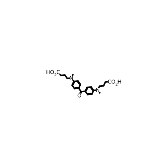 CN(CCCC(=O)O)c1ccc(C(=O)c2ccc(N(C)CCCC(=O)O)cc2)cc1